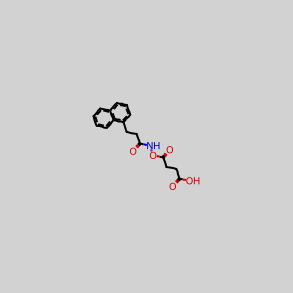 O=C(O)CCC(=O)ONC(=O)CCc1cccc2ccccc12